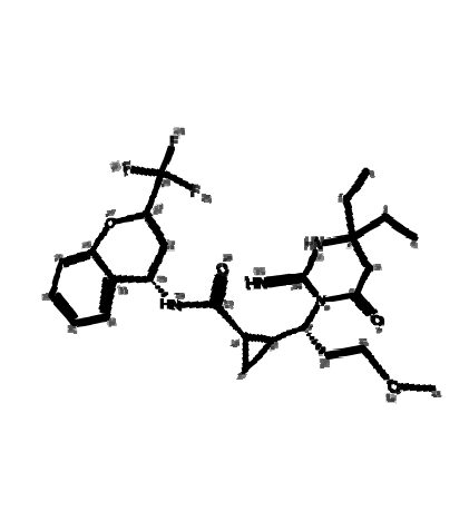 CCC1(CC)CC(=O)N([C@H](CCOC)C2C[C@H]2C(=O)N[C@H]2CC(C(F)(F)F)Oc3ccccc32)C(=N)N1